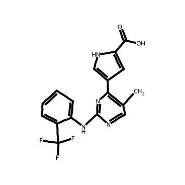 Cc1cnc(Nc2ccccc2C(F)(F)F)nc1-c1c[nH]c(C(=O)O)c1